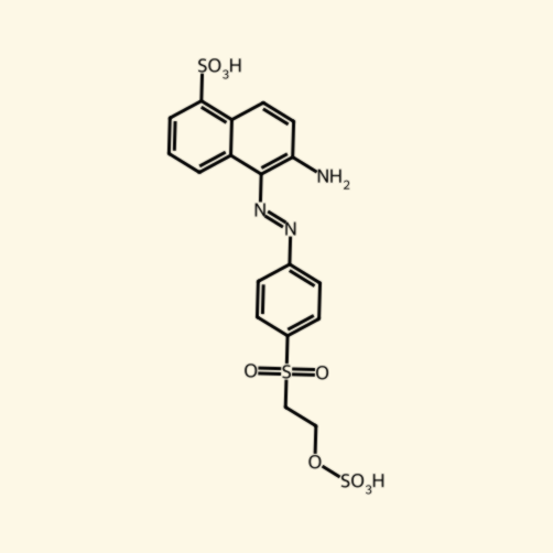 Nc1ccc2c(S(=O)(=O)O)cccc2c1/N=N/c1ccc(S(=O)(=O)CCOS(=O)(=O)O)cc1